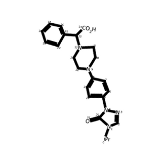 CC(C)n1cnn(-c2ccc(N3CCN(C(C(=O)O)c4ccccc4)CC3)cc2)c1=O